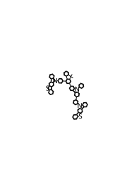 CC1(C)c2ccccc2-c2c(-c3ccc(-n4c5ccccc5c5cc6sc7ccccc7c6cc54)cc3)cc(-c3ccc4c5cc(-c6cccc(-n7c8ccccc8c8cc9sc%10ccccc%10c9cc87)c6)ccc5n(-c5ccccc5)c4c3)cc21